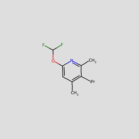 Cc1cc(OC(F)F)nc(C)c1C(C)C